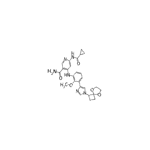 COc1c(Nc2cc(NC(=O)C3CC3)ncc2C(N)=O)cccc1-c1cn(C2CCC23OCCO3)cn1